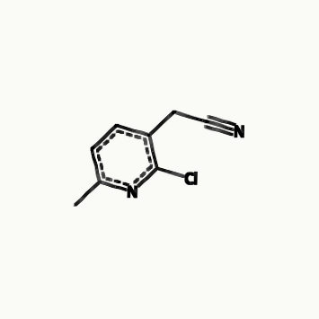 Cc1ccc(CC#N)c(Cl)n1